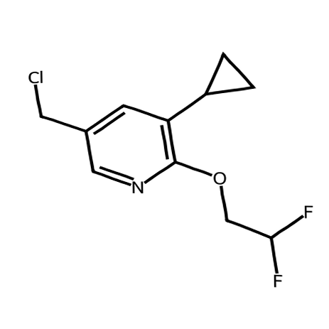 FC(F)COc1ncc(CCl)cc1C1CC1